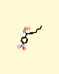 CCCCC#CC(=NO)c1ccc([N+](=O)[O-])cc1